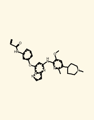 C=CC(=O)Nc1cccc(Oc2cc(Nc3nc(C)c(C4CCN(C)CC4)cc3OC)nc3ccnn23)c1